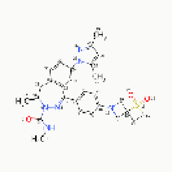 CNC(=O)N1N=C(c2ccc(N3CC4(CCS4(=O)=O)C3)cc2)c2cc(-n3nc(C)cc3C)ccc2C[C@@H]1C